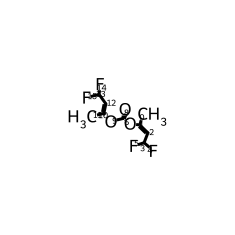 CC(=CC(F)F)OC(=O)OC(C)=CC(F)F